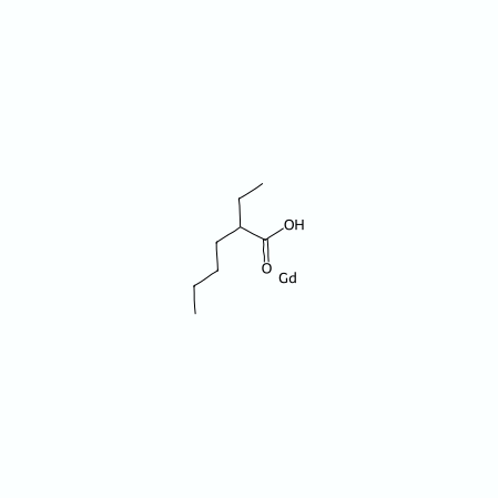 CCCCC(CC)C(=O)O.[Gd]